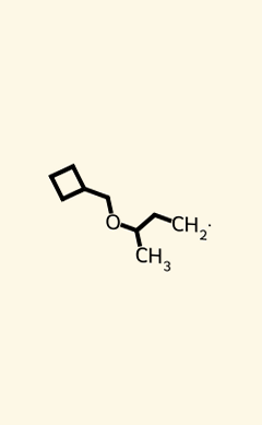 [CH2]CC(C)OCC1CCC1